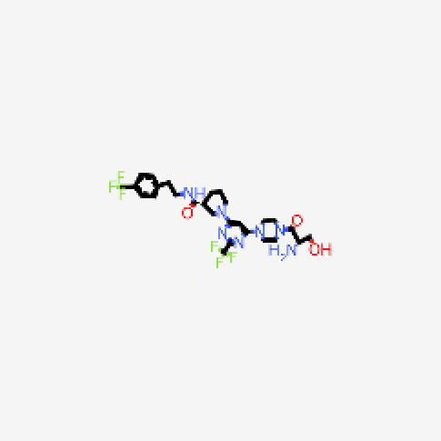 N[C@@H](CO)C(=O)N1CCN(c2cc(N3CCC[C@@H](C(=O)NCCc4ccc(C(F)(F)F)cc4)C3)nc(C(F)(F)F)n2)CC1